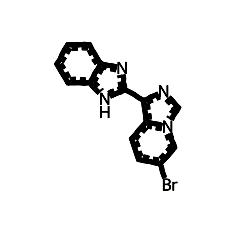 Brc1ccc2c(-c3nc4ccccc4[nH]3)ncn2c1